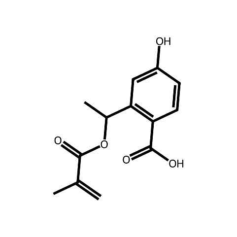 C=C(C)C(=O)OC(C)c1cc(O)ccc1C(=O)O